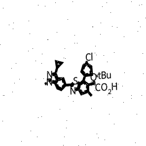 Cc1cc2nc(-c3ccc4c(c3)c(C3CC3)nn4C)sc2c(-c2ccc(Cl)cc2)c1[C@H](OC(C)(C)C)C(=O)O